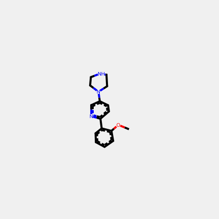 COc1ccccc1-c1ccc(N2CCNCC2)cn1